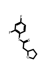 Fc1ccc(SC(=S)CC2CCCO2)c(F)c1